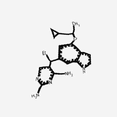 CCC(c1cc(OC(C)C2CC2)c2cc[nH]c2c1)c1cnc(N)nc1N